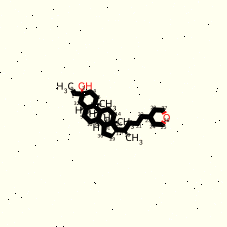 CC[C@]1(O)CC[C@@]2(C)[C@@H](CC[C@@H]3[C@@H]2CC[C@]2(C)[C@@H]([C@H](C)CCCC4CCOCC4)CC[C@@H]32)C1